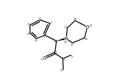 CC(C)C(=O)[C@@H](c1ccccc1)N1CCOCC1